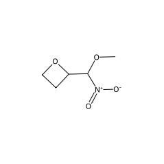 COC(C1CCO1)[N+](=O)[O-]